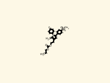 CCCOC(=O)OCCc1cc(-c2ccc(S(C)(=O)=O)cc2)n(-c2ccc(F)cc2)c1C